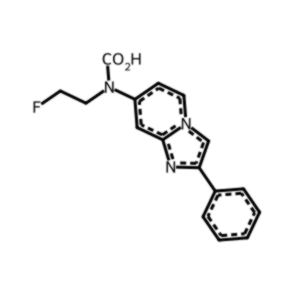 O=C(O)N(CCF)c1ccn2cc(-c3ccccc3)nc2c1